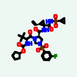 C=C[C@@H]1C[C@]1(NC(=O)[C@@H]1CN(S(=O)(=O)c2cccc(F)c2)CN1C(=O)[C@@H](NC(=O)OC1CCCC1)C(C)(C)C)C(=O)NS(=O)(=O)C1CC1